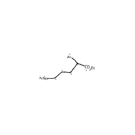 CCOC(=O)C(CCCNC(C)=O)C(C)=O